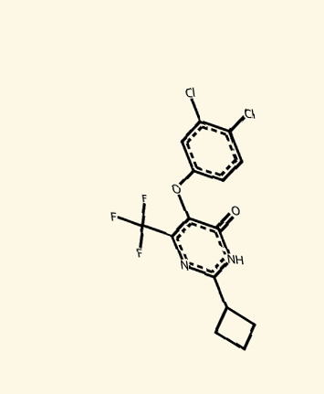 O=c1[nH]c(C2CCC2)nc(C(F)(F)F)c1Oc1ccc(Cl)c(Cl)c1